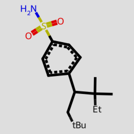 CCC(C)(C)C(CC(C)(C)C)c1ccc(S(N)(=O)=O)cc1